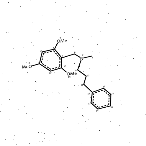 COc1cc(OC)c(CN(C)CCCc2ccccc2)c(OC)c1